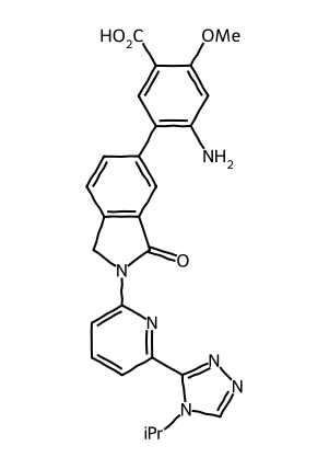 COc1cc(N)c(-c2ccc3c(c2)C(=O)N(c2cccc(-c4nncn4C(C)C)n2)C3)cc1C(=O)O